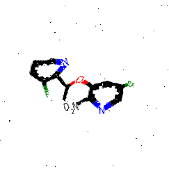 CC(Oc1cc(Br)cnc1[N+](=O)[O-])c1ncccc1F